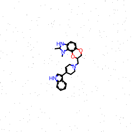 CC1Nc2ccc3c(c2N1C)OC(CN1CC=C(c2c[nH]c4ccccc24)CC1)CO3